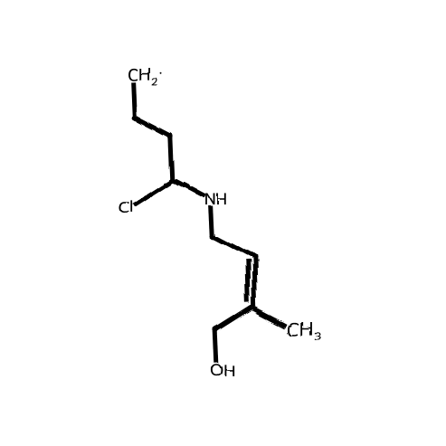 [CH2]CCC(Cl)NC/C=C(/C)CO